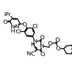 CC(C)c1cc(Oc2c(Cl)cc(-n3nc(C#N)c(=O)n(COC(=O)OC4CCOCC4)c3=O)cc2Cl)n[nH]c1=O